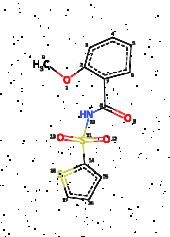 COc1ccccc1C(=O)NS(=O)(=O)c1cccs1